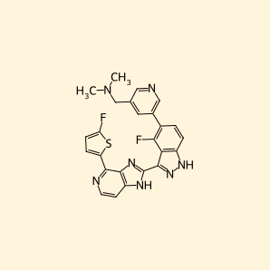 CN(C)Cc1cncc(-c2ccc3[nH]nc(-c4nc5c(-c6ccc(F)s6)nccc5[nH]4)c3c2F)c1